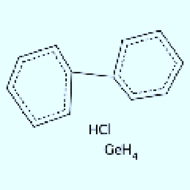 Cl.[GeH4].c1ccc(-c2ccccc2)cc1